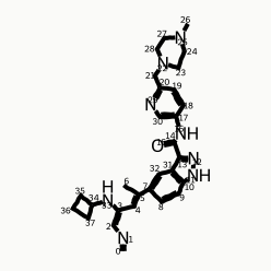 C=N/C=C(\C=C(/C)c1ccc2[nH]nc(C(=O)Nc3ccc(CN4CCN(C)CC4)nc3)c2c1)NC1CCC1